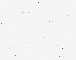 CC#C[C@H](CC(=O)OCCC(C)C)c1ccc(OCCC(C)C)cc1